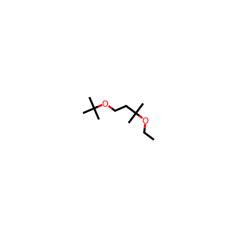 CCOC(C)(C)CCOC(C)(C)C